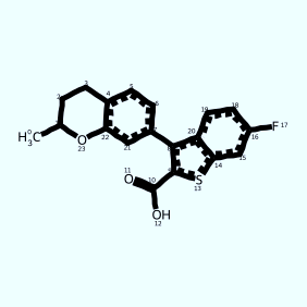 CC1CCc2ccc(-c3c(C(=O)O)sc4cc(F)ccc34)cc2O1